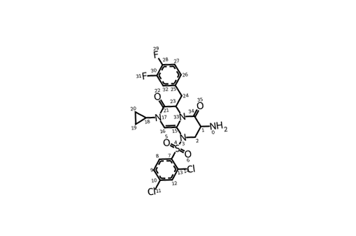 NC1CN(S(=O)(=O)c2ccc(Cl)cc2Cl)C2=CN(C3CC3)C(=O)C(Cc3ccc(F)c(F)c3)N2C1=O